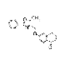 Cc1oc(-c2ccccc2)nc1COc1ccc2c(c1)CCCC2=O